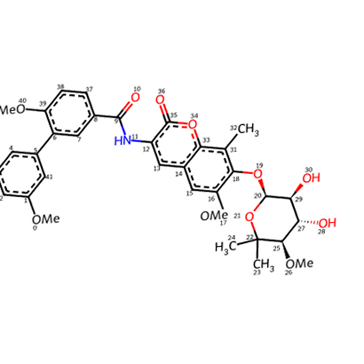 COc1cccc(-c2cc(C(=O)Nc3cc4cc(OC)c(O[C@@H]5OC(C)(C)[C@H](OC)[C@@H](O)[C@@H]5O)c(C)c4oc3=O)ccc2OC)c1